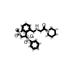 O=C(CNCc1cccc2c1C(S(=O)(=O)c1ccccc1)CS2(=O)=O)N1CCCCC1